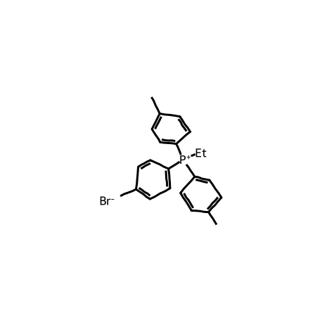 CC[P+](c1ccc(C)cc1)(c1ccc(C)cc1)c1ccc(C)cc1.[Br-]